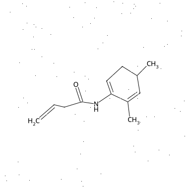 C=CCC(=O)NC1=CCC(C)C=C1C